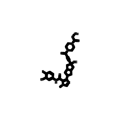 Cn1cnc(C2CC3CC(O)(C#CC(=O)N4CCN(C(=O)OC(C)(C)C)CC4)CC3C2)c1C(=O)Nc1ccc(F)c(Cl)c1